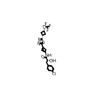 O=C(NC12CC(c3nnc([C@H]4C[C@@H](OC(F)(F)F)C4)o3)(C1)C2)[C@H](O)Cc1ccc(Cl)cc1